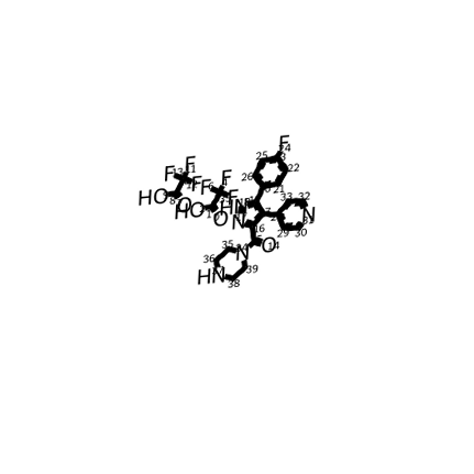 O=C(O)C(F)(F)F.O=C(O)C(F)(F)F.O=C(c1n[nH]c(-c2ccc(F)cc2)c1-c1ccncc1)N1CCNCC1